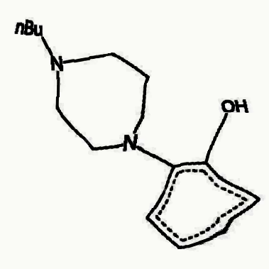 C[CH]CCN1CCN(c2ccccc2O)CC1